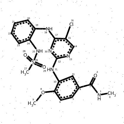 CNC(=O)c1ccc(OC)c(Nc2ncc(Cl)c(Nc3ccccc3NS(C)(=O)=O)n2)c1